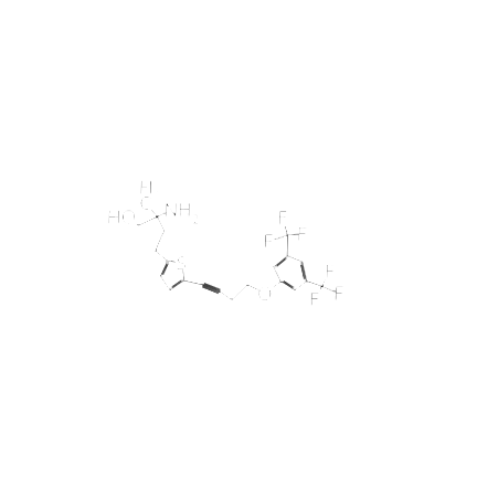 CC(N)(CO)CCc1ccc(C#CCCOc2cc(C(F)(F)F)cc(C(F)(F)F)c2)s1